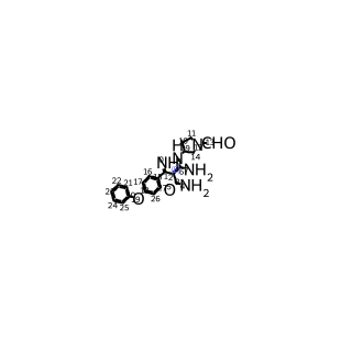 N=C(/C(C(N)=O)=C(/N)NC1CCN(C=O)C1)c1ccc(Oc2ccccc2)cc1